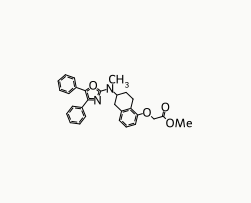 COC(=O)COc1cccc2c1CCC(N(C)c1nc(-c3ccccc3)c(-c3ccccc3)o1)C2